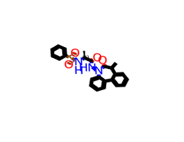 CC1C(=O)N(NC(=O)[C@H](C)NS(=O)(=O)c2ccccc2)c2ccccc2-c2ccccc21